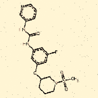 CS(=O)(=O)N1CCCC(Oc2cc(F)cc(NC(=O)Nc3cccnc3)c2)C1